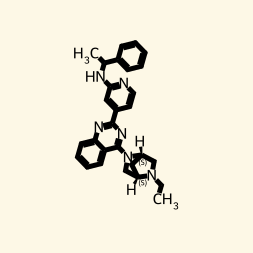 CCN1C[C@@H]2C[C@H]1CN2c1nc(-c2ccnc(NC(C)c3ccccc3)c2)nc2ccccc12